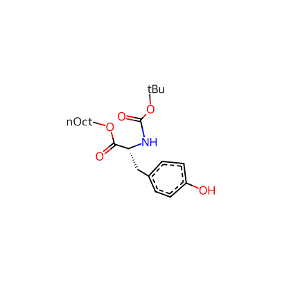 CCCCCCCCOC(=O)[C@@H](Cc1ccc(O)cc1)NC(=O)OC(C)(C)C